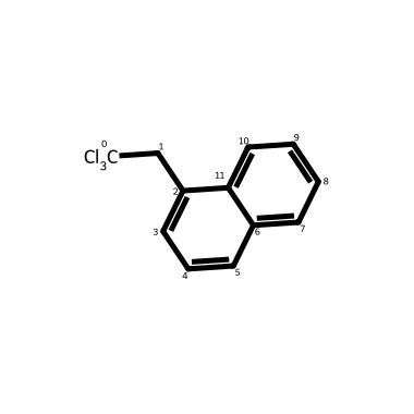 ClC(Cl)(Cl)Cc1cccc2ccccc12